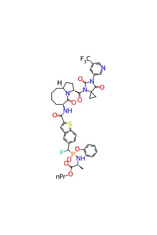 CCCOC(=O)[C@H](C)NP(=O)(Oc1ccccc1)[C@@H](F)c1ccc2sc(C(=O)N[C@H]3CCCC[C@H]4CC[C@@H](C(=O)N5C(=O)N(c6cncc(C(F)(F)F)c6)C(=O)C56CC6)N4C3=O)cc2c1